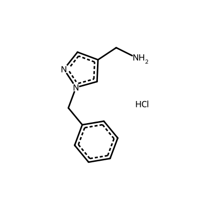 Cl.NCc1cnn(Cc2ccccc2)c1